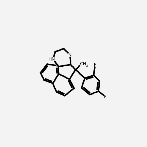 CC(c1ccc(F)cc1F)(c1cccc2cccnc12)C1CNCC[N]1